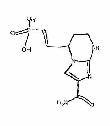 NC(=O)c1cn2c(n1)NCCC2C=CP(=O)(O)O